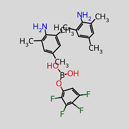 Cc1cc(C)c(N)c(C)c1.Cc1cc(C)c(N)c(C)c1.OB(O)Oc1cc(F)c(F)c(F)c1F